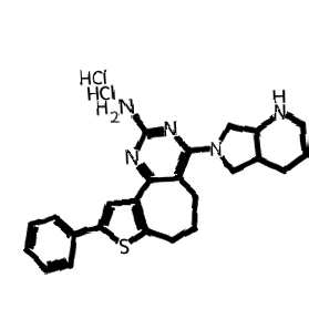 Cl.Cl.Nc1nc2c(c(N3CC4CCCNC4C3)n1)CCCc1sc(-c3ccccc3)cc1-2